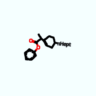 CCCCCCCC1CC=C(C(C)C(=O)Oc2ccccc2)CC1